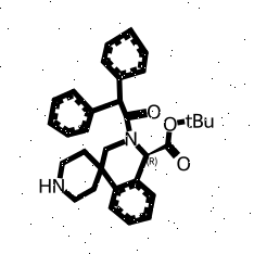 CC(C)(C)OC(=O)[C@H]1c2ccccc2C2(CCNCC2)CN1C(=O)C(c1ccccc1)c1ccccc1